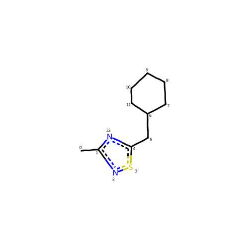 Cc1nsc(CC2CCCCC2)n1